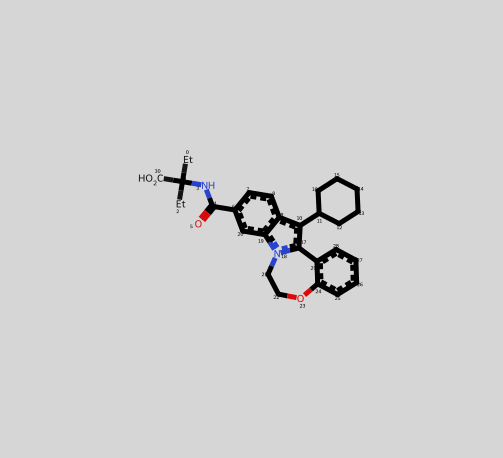 CCC(CC)(NC(=O)c1ccc2c(C3CCCCC3)c3n(c2c1)CCOc1ccccc1-3)C(=O)O